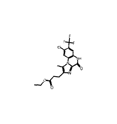 CCOC(=O)CCc1nc2c(=O)[nH]c3cc(C(F)(F)F)c(Cl)cc3n2c1C